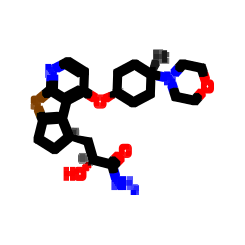 CC[C@]1(N2CCOCC2)CC[C@H](Oc2ccnc3sc4c(c23)[C@@H](C[C@@H](O)C(N)=O)CC4)CC1